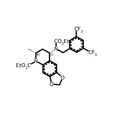 CCOC(=O)N(Cc1cc(C(F)(F)F)cc(C(F)(F)F)c1)[C@H]1C[C@@H](C)N(C(=O)OCC)c2cc3c(cc21)OCO3